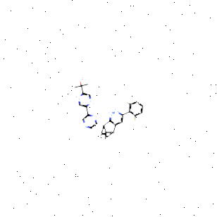 CC(C)(O)c1cnc(-c2cncc([C@@]34CC[C@@H](c5cc(-c6c(F)cccc6F)nnc53)C4(C)C)n2)cn1